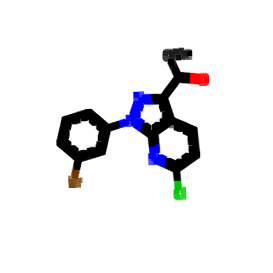 COC(=O)c1nn(-c2cccc(Br)c2)c2nc(Cl)ccc12